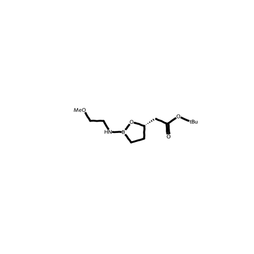 COCCNB1CC[C@@H](CC(=O)OC(C)(C)C)O1